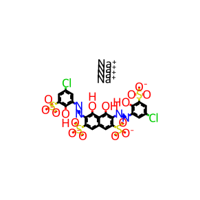 O=S(=O)([O-])c1cc(Cl)cc(N=Nc2c(S(=O)(=O)[O-])cc3cc(S(=O)(=O)[O-])c(N=Nc4cc(Cl)cc(S(=O)(=O)[O-])c4O)c(O)c3c2O)c1O.[Na+].[Na+].[Na+].[Na+]